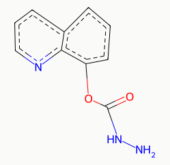 NNC(=O)Oc1cccc2cccnc12